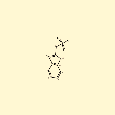 [CH2]S(=O)(=O)Cc1nc2cnccc2s1